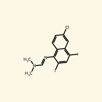 CN(C)/C=N/c1c(I)cc(I)c2cc(Cl)ccc12